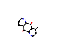 Cc1ccnc2c1C(=O)c1ncccc1C2=O